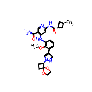 COc1c(Nc2cc(NC(=O)[C@H]3C[C@H](C)C3)ncc2C(N)=O)cccc1-c1cnn(C2CCC23OCCO3)c1